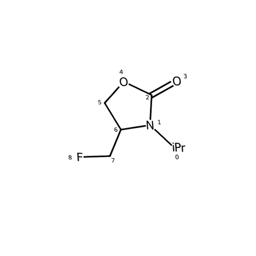 CC(C)N1C(=O)OCC1CF